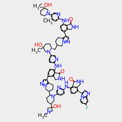 C[C@@H]1CC[C@](C)(O)CN1c1ccc(Nc2ccc(-c3cnn4c3CCC(C[C@@H]3CC[C@@](C)(O)CN3c3ccc(Nc5ccc(-c6cnn7c6CCC(C6CCC(C8(O)CN(C)C8)CN6c6ccc(Nc8ccc(-c9cnc%10cc(F)ccn9%10)c9c8C(=O)NC9)nc6)C7)c6c5C(=O)NC6)nc3)C4)c3c2C(=O)NC3)nc1